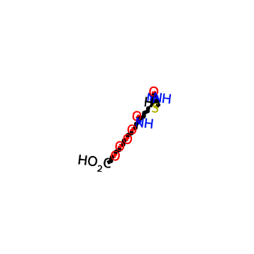 CN1C(=O)NC2CS[C@@H](CCCCC(=O)NCCOCCOCCOCCOCCC(=O)O)[C@H]21